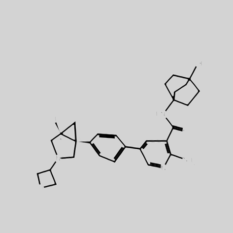 Nc1ncc(-c2ccc([C@]34C[C@H]3CN(C3COC3)C4)cc2)cc1C(=O)NC12CCC(O)(CC1)CC2